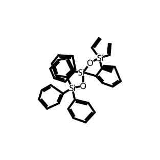 C=C[Si](C=C)(C=C)O[Si](O[Si](c1ccccc1)(c1ccccc1)c1ccccc1)(c1ccccc1)c1ccccc1